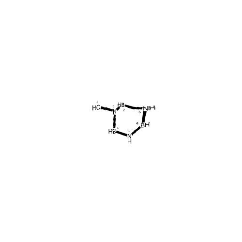 ON1BNBNB1